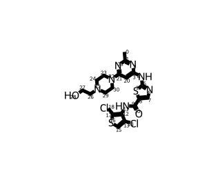 Cc1nc(Nc2ncc(C(=O)Nc3c(Cl)csc3Cl)s2)cc(N2CCN(CCO)CC2)n1